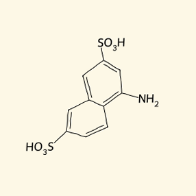 Nc1cc(S(=O)(=O)O)cc2cc(S(=O)(=O)O)ccc12